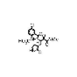 CNC(=O)C(=O)[C@H](C[C@@H]1CCNC1=O)NC(=O)c1cc(Cl)ccc1NC(=O)O